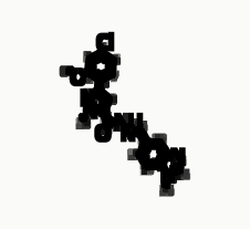 COc1cc(Cl)ccc1-c1cc(C(=O)N/N=C/c2ccc3c(c2)ncn3C)n(C)n1